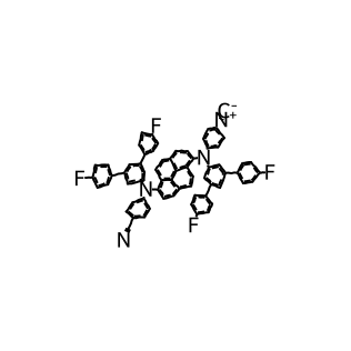 [C-]#[N+]c1ccc(N(c2cc(-c3ccc(F)cc3)cc(-c3ccc(F)cc3)c2)c2ccc3ccc4c(N(c5ccc(C#N)cc5)c5cc(-c6ccc(F)cc6)cc(-c6ccc(F)cc6)c5)ccc5ccc2c3c54)cc1